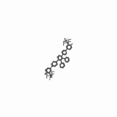 Cc1ccc(-c2ccc(-c3ccc(-c4ccc(-c5ccc(C)c(C(F)(F)F)c5)cc4)c(-c4ccccc4)c3-c3ccccc3)cc2)cc1C(F)(F)F